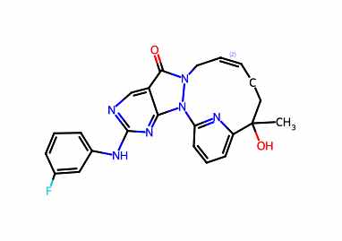 CC1(O)CC/C=C\Cn2c(=O)c3cnc(Nc4cccc(F)c4)nc3n2-c2cccc1n2